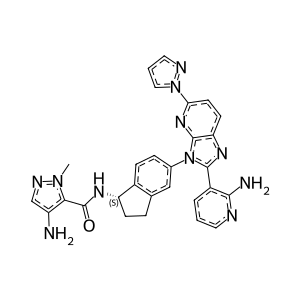 Cn1ncc(N)c1C(=O)N[C@H]1CCc2cc(-n3c(-c4cccnc4N)nc4ccc(-n5cccn5)nc43)ccc21